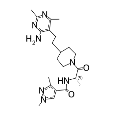 Cc1nc(C)c(CCC2CCN(C(=O)[C@H](C)NC(=O)c3cn(C)nc3C)CC2)c(N)n1